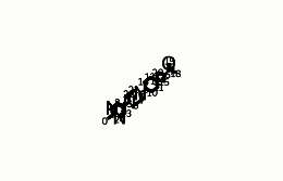 Cc1ncc(N2CCN([C@H]3CCC4(CC3)C[C@H](C(C)=O)C4)CC2)cn1